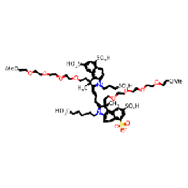 COCCOCCOCCOCCOCCC1(C)C(/C=C/C=C2/N(CCCCCC(=O)O)c3ccc4c(S(=O)(=O)[O-])cc(S(=O)(=O)O)cc4c3C2(C)CCOCCOCCOCCOCCOC)=[N+](CCCS(=O)(=O)O)c2ccc3c(S(=O)(=O)O)cc(S(=O)(=O)O)cc3c21